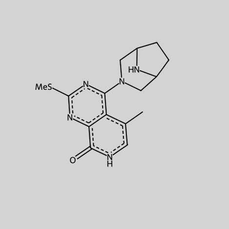 CSc1nc(N2CC3CCC(C2)N3)c2c(C)c[nH]c(=O)c2n1